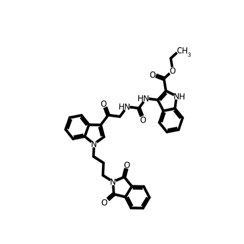 CCOC(=O)c1[nH]c2ccccc2c1NC(=O)NCC(=O)c1cn(CCCN2C(=O)c3ccccc3C2=O)c2ccccc12